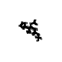 CC(C)C[C@H](NC(=O)OC(C)(C)C)[C@@H](O)c1nccs1